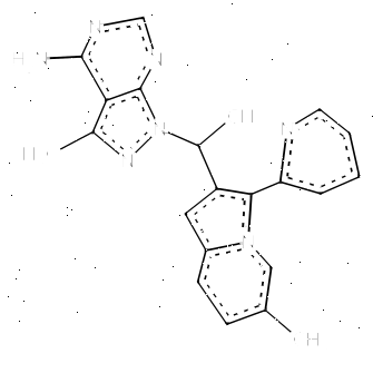 Cc1ccc2cc(C(C)n3nc(C)c4c(N)ncnc43)c(-c3ccccn3)n2c1